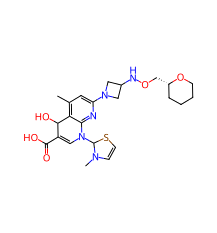 Cc1cc(N2CC(NOC[C@H]3CCCCO3)C2)nc2c1C(O)C(C(=O)O)=CN2C1SC=CN1C